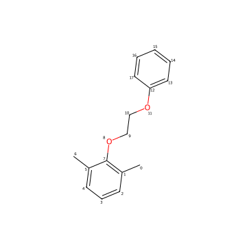 Cc1cccc(C)c1OCCOc1ccccc1